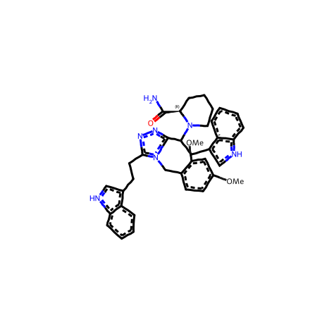 COc1ccc(Cn2c(CCc3c[nH]c4ccccc34)nnc2C(Cc2c[nH]c3ccccc23)N2CCCC[C@@H]2C(N)=O)c(OC)c1